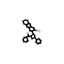 Cc1cc2cc3c(cc2cc1C1CC(c2ccccc2)CC1C(=O)c1ccccc1)CCCC3